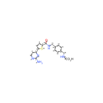 Nc1nccc(-c2ccc(C(=O)NCc3ccc(CNC(=O)O)cc3)s2)n1